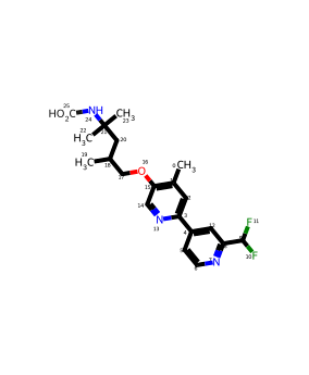 Cc1cc(-c2ccnc(C(F)F)c2)ncc1OCC(C)CC(C)(C)NC(=O)O